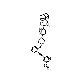 CCOc1cncc(C#Cc2ccccc2CN2CCN(c3ccc(C(=O)N(C)CC45CC6CC(CC(C6)C4)C5)nn3)CC2)c1